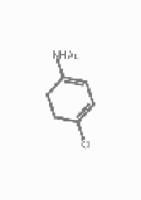 CC(=O)NC1=CC=C(Cl)CC1